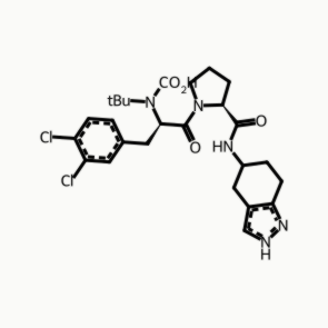 CC(C)(C)N(C(=O)O)[C@H](Cc1ccc(Cl)c(Cl)c1)C(=O)N1CCC[C@H]1C(=O)NC1CCc2n[nH]cc2C1